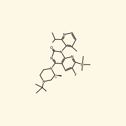 Cc1ccnc(C(C)C)c1-n1c(=O)nc(N2CCN(C(C)(C)C)C[C@@H]2C)c2cc(F)[c]([Sn]([CH3])([CH3])[CH3])nc21